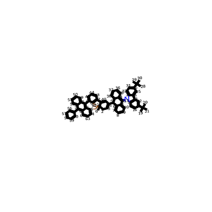 CC12CC=C(C3c4ccccc4C(n4c5ccc(C(C)(C)C)cc5c5cc(C(C)(C)C)ccc54)=C4C=CC=CC43)C=C1c1cccc(-c3c4ccccc4c(-c4ccccc4)c4ccccc34)c1S2